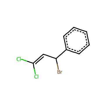 ClC(Cl)=CC(Br)c1ccccc1